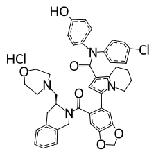 Cl.O=C(c1cc(-c2cc3c(cc2C(=O)N2Cc4ccccc4C[C@H]2CN2CCOCC2)OCO3)n2c1CCCC2)N(c1ccc(O)cc1)c1ccc(Cl)cc1